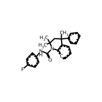 CC1(c2ccccc2)CC(C)(C)N(C(=O)Nc2ccc(F)cc2)c2ccccc21